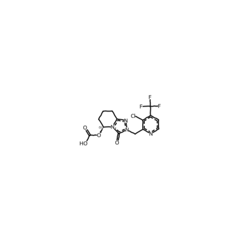 O=C(O)O[C@H]1CCCc2nn(Cc3nccc(C(F)(F)F)c3Cl)c(=O)n21